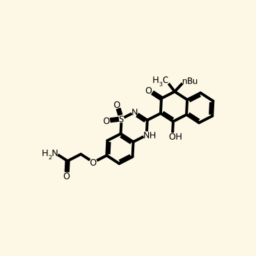 CCCCC1(C)C(=O)C(C2=NS(=O)(=O)c3cc(OCC(N)=O)ccc3N2)=C(O)c2ccccc21